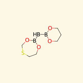 B(B1OCCCO1)B1OCCSCO1